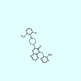 Cc1cccc(F)c1N1CCC(c2cc3nccnc3n(Cc3nccnc3O)c2=O)CC1